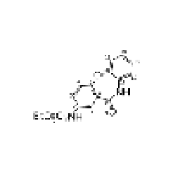 CCOC(=O)Nc1ccc2c(c1)C(=O)Nc1ccccc1O2